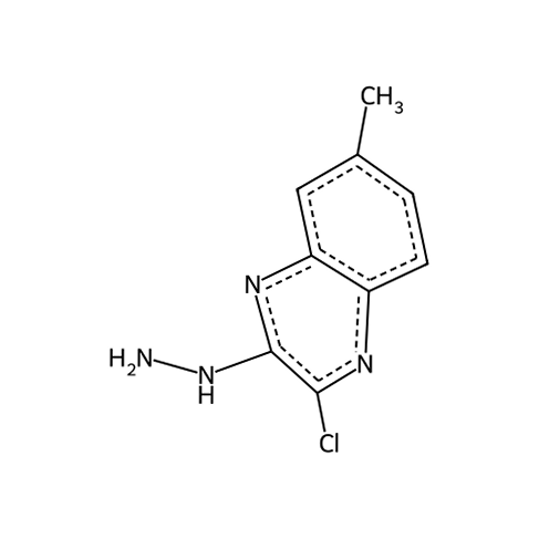 Cc1ccc2nc(Cl)c(NN)nc2c1